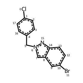 Clc1ccc(Cn2cc3cc(Br)ccc3n2)cc1